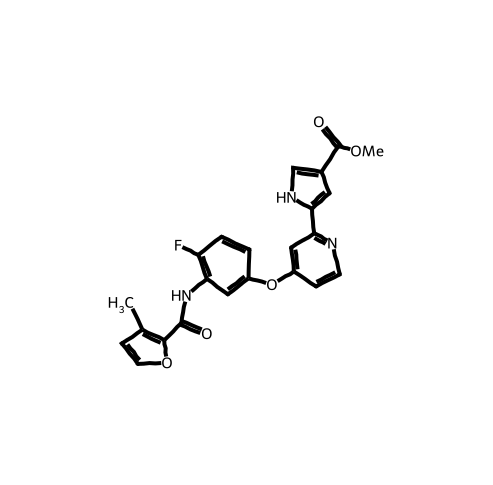 COC(=O)c1c[nH]c(-c2cc(Oc3ccc(F)c(NC(=O)c4occc4C)c3)ccn2)c1